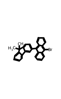 CC1(C)c2ccccc2-c2cc(-c3c4ccccc4c(Br)c4ccccc34)ccc21